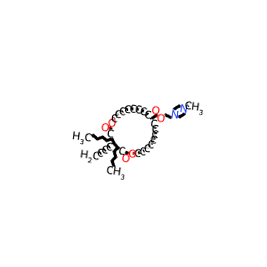 C=C=C=C=C1C(CCCCC)CC(=O)OCCCCCCCCC(C(=O)OCCN2CCN(C)CC2)CCCCCCCCOC(=O)CC1CCCCC